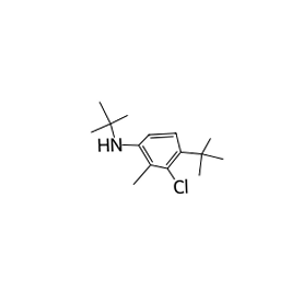 Cc1c(NC(C)(C)C)ccc(C(C)(C)C)c1Cl